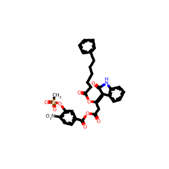 CS(=O)(=O)Oc1cc(C(=O)OC(=O)CC(OC(=O)CCCCCc2ccccc2)=C2C(=O)Nc3ccccc32)ccc1[N+](=O)[O-]